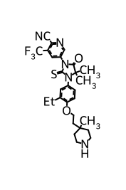 CCc1cc(N2C(=S)N(c3cnc(C#N)c(C(F)(F)F)c3)C(=O)C2(C)C)ccc1OCCC1(C)CCNCC1